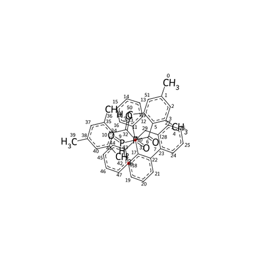 Cc1cc(C)c(C(=O)C([PH2]=O)(c2ccccc2)c2ccccc2-c2ccccc2CP(=O)(C(=O)c2c(C)cc(C)cc2C)c2ccccc2)c(C)c1